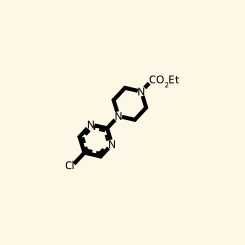 CCOC(=O)N1CCN(c2ncc(Cl)cn2)CC1